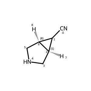 N#CC1[C@H]2CNC[C@@H]12